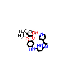 CC(C)(C)C(OC1CCC(Nc2ccc3ncc(-c4ccncc4)n3n2)CC1)C(=O)O